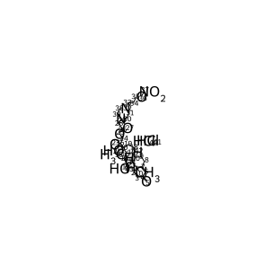 C[C@]12C=CC(=O)C=C1CC[C@@H]1[C@@H]2C(O)C[C@@]2(C)[C@H]1CC[C@]2(O)C(=O)COC(=O)CN1CCN(CCCO[N+](=O)[O-])CC1.Cl.Cl